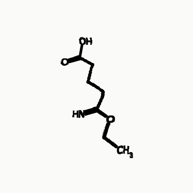 CCOC(=N)CCCC(=O)O